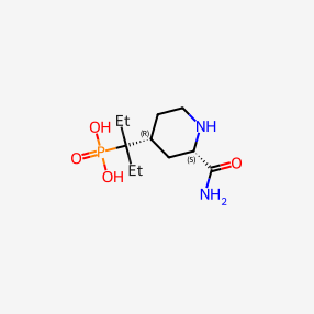 CCC(CC)([C@@H]1CCN[C@H](C(N)=O)C1)P(=O)(O)O